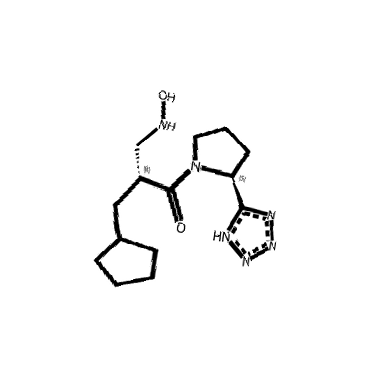 O=C([C@@H](CNO)CC1CCCC1)N1CCC[C@H]1c1nnn[nH]1